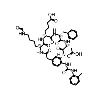 Cc1ccccc1NC(=O)Nc1ccc(CC(=O)N[C@@H](CCCCNC=O)C(=O)N[C@@H](CCCC(=O)O)C(=O)N[C@H](Cc2ccccc2)C(=O)N[C@H](CC(=O)O)C(N)=O)cc1